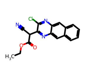 CCOC(=O)C(C#N)c1nc2cc3ccccc3cc2nc1Cl